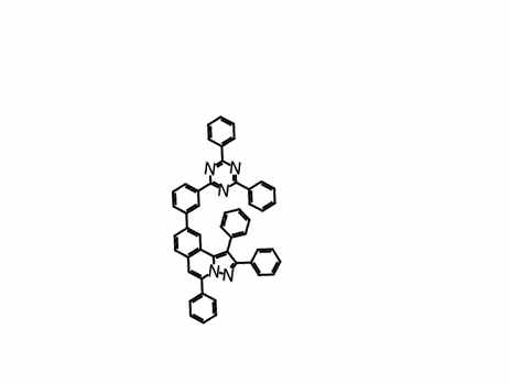 c1ccc(-c2nc(-c3ccccc3)nc(-c3cccc(-c4ccc5cc(-c6ccccc6)n6nc(-c7ccccc7)c(-c7ccccc7)c6c5c4)c3)n2)cc1